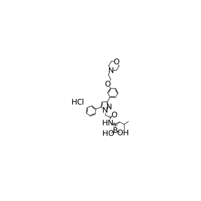 CC(C)C[C@H](NC(=O)Cn1nc(-c2cccc(OCCN3CCOCC3)c2)cc1-c1ccccc1)B(O)O.Cl